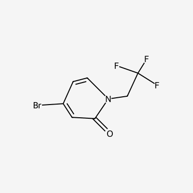 O=c1cc(Br)ccn1CC(F)(F)F